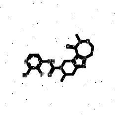 CC1Cc2nn3c(c2CN1C(=O)Nc1ccnc(Br)c1F)C(=O)N(C)OCC3